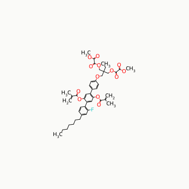 C=C(C)C(=O)Oc1cc(-c2ccc(CCCCCCC)cc2F)c(OC(=O)C(=C)C)cc1-c1ccc(OCC(CC)(COC(=O)C(=O)OC)COC(=O)C(=O)OC)cc1